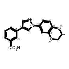 O=C(O)c1cccc(-c2cnn(-c3ccc4c(c3)OCCO4)c2)c1